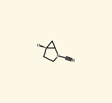 N#CN1CC[C@@H]2CC21